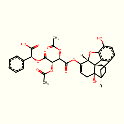 CC(=O)O[C@@H](C(=O)OC1=CC[C@@]2(O)[C@@H]3CCC[C@@]24c2c(ccc(O)c2O[C@@H]14)C3)[C@@H](OC(C)=O)C(=O)O[C@H](C(=O)O)c1ccccc1